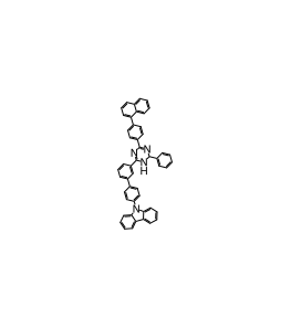 c1ccc(C2N=C(c3ccc(-c4cccc5ccccc45)cc3)N=C(c3cccc(-c4ccc(-n5c6ccccc6c6ccccc65)cc4)c3)N2)cc1